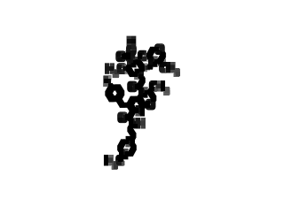 CC1COc2nc(C(=O)NCCN3CCN(C)CC3)c(Cc3ccc(F)cc3)cc2N1C(=O)CN1C[C@@H](C)N(C(=O)O)C[C@@H]1CN1[C@H](C)COC[C@H]1C